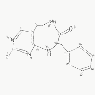 O=C1NCc2cnc(Cl)nc2NC1c1ccccc1